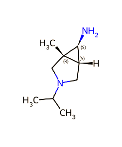 CC(C)N1C[C@H]2[C@H](N)[C@@]2(C)C1